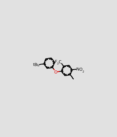 Cc1cc(Oc2cccc(C(C)(C)C)c2)c(C(F)(F)F)cc1[N+](=O)[O-]